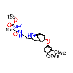 CC[C@H](NC(=O)OC(C)(C)C)C(=O)NCCCc1cc2cc(Oc3ccc(OC)c(OC)c3)ccc2[nH]1